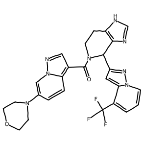 O=C(c1cnn2cc(N3CCOCC3)ccc12)N1CCc2[nH]cnc2C1c1cc2c(C(F)(F)F)cccn2n1